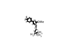 COc1nc(C2=CCC(F)(F)CC2)cn1COCC[Si](C)(C)C